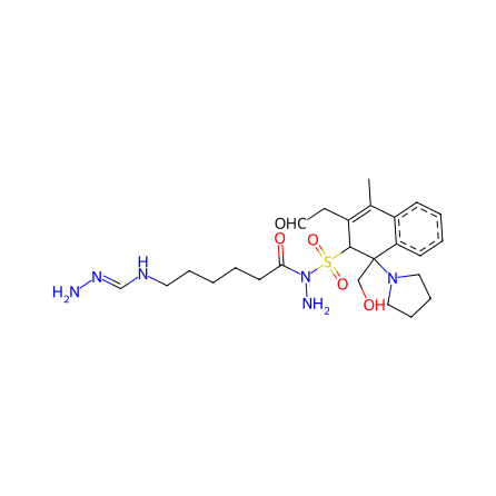 CC1=C(CC=O)C(S(=O)(=O)N(N)C(=O)CCCCCNC=NN)C(CO)(N2CCCC2)c2ccccc21